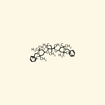 CCC(CC)(C(=O)OC1CC(C)(C)N(Cc2ccccc2)C(C)(C)C1)C(=O)OC1CC(C)(C)N(Cc2ccccc2)C(C)(C)C1